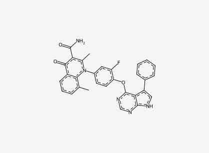 Cc1cccc2c(=O)c(C(N)=O)c(C)n(-c3ccc(Oc4ncnc5[nH]cc(-c6ccccc6)c45)c(F)c3)c12